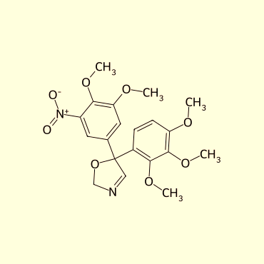 COc1cc(C2(c3ccc(OC)c(OC)c3OC)C=NCO2)cc([N+](=O)[O-])c1OC